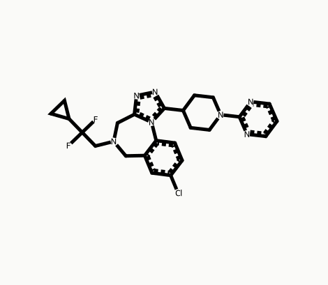 FC(F)(CN1Cc2cc(Cl)ccc2-n2c(nnc2C2CCN(c3ncccn3)CC2)C1)C1CC1